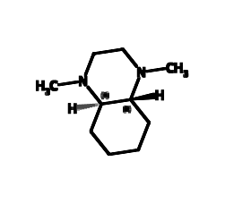 CN1CCN(C)[C@@H]2CCCC[C@H]21